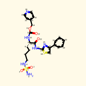 NS(=O)(=O)NCCCC[C@H](NC(=O)OCc1ccncc1)C(=O)Nc1nc(-c2ccccc2)cs1